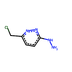 NNc1ccc(CCl)nn1